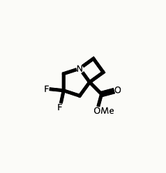 COC(=O)C12CCN1CC(F)(F)C2